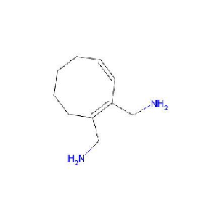 NCC1=C(\CN)CCCC/C=C\1